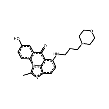 Cc1nc2ccc(NCCCN3CCOCC3)c3c(=O)c4cc(O)ccc4n1c23